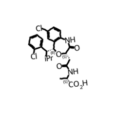 CC(C)C(c1ccccc1Cl)[C@H]1O[C@@H](CC(=O)N[C@@H](C)C(=O)O)C(=O)Nc2ccc(Cl)cc21